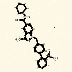 Cc1nn(Cc2ccc(-c3ccccc3C(=O)O)cc2)c2ccc(C(=O)NC3CCCCC3)cc12